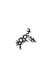 CCC(C)(C)CC[C@]1(CNCc2cc(C)on2)CC[C@]2(C)C(C1)C(=O)C[C@@H]1[C@@]3(C)C=C(C#N)C(=O)C(C)(C)C3CC[C@]12C